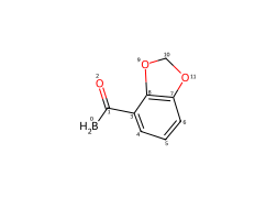 BC(=O)c1cccc2c1OCO2